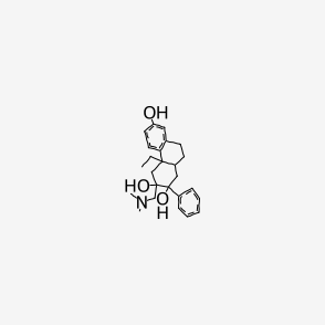 CCC12CC(O)(CN(C)C)C(O)(c3ccccc3)CC1CCc1cc(O)ccc12